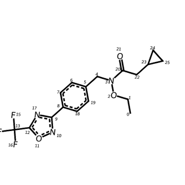 CCON(Cc1ccc(-c2noc(C(F)(F)F)n2)cc1)C(=O)CC1CC1